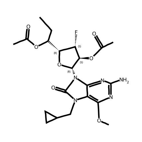 CCC(OC(C)=O)[C@H]1O[C@@H](n2c(=O)n(CC3CC3)c3c(OC)nc(N)nc32)[C@H](OC(C)=O)[C@H]1F